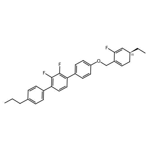 CCCc1ccc(-c2ccc(-c3ccc(OCC4=CC[C@H](CC)C=C4F)cc3)c(F)c2F)cc1